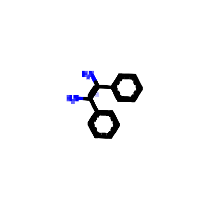 N/C(=C(\N)c1ccccc1)c1ccccc1